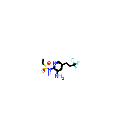 CCS(=O)(=O)Nc1ncc(CCC(F)(F)F)cc1N